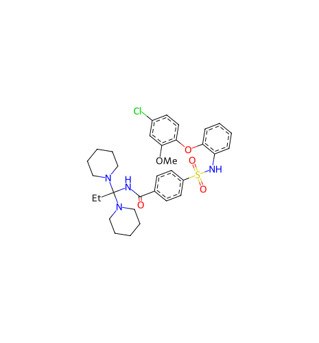 CCC(NC(=O)c1ccc(S(=O)(=O)Nc2ccccc2Oc2ccc(Cl)cc2OC)cc1)(N1CCCCC1)N1CCCCC1